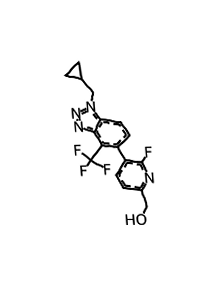 OCc1ccc(-c2ccc3c(nnn3CC3CC3)c2C(F)(F)F)c(F)n1